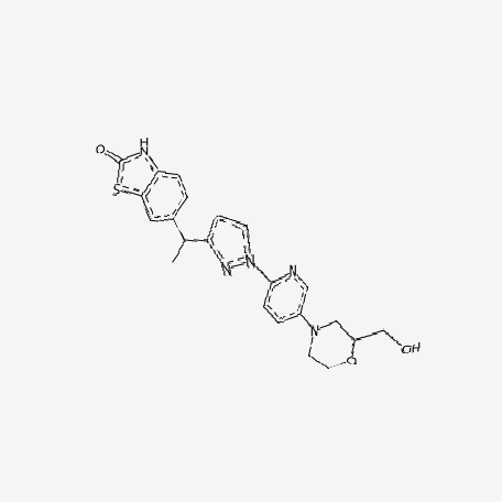 CC(c1ccc2[nH]c(=O)sc2c1)c1ccn(-c2ccc(N3CCOC(CO)C3)cn2)n1